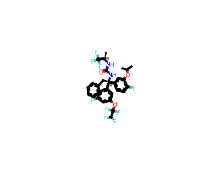 CC(C)Oc1cc([C@@](Cc2ccccc2)(NC(=O)N[C@H](C)C(F)(F)F)c2cc(F)cc(OC(F)(F)C(F)F)c2)ccc1F